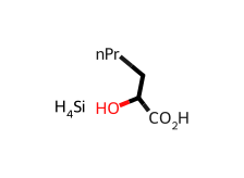 CCCCC(O)C(=O)O.[SiH4]